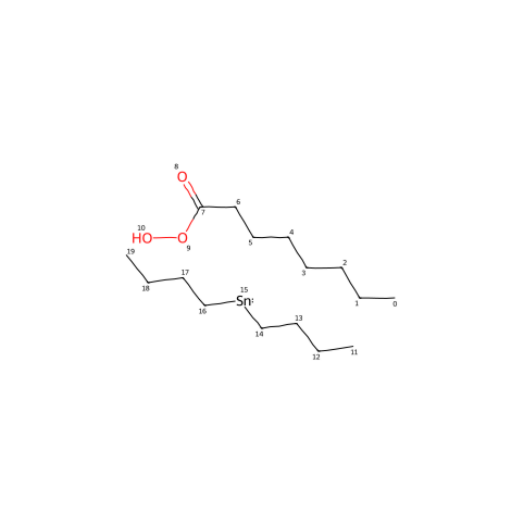 CCCCCCCC(=O)OO.CCC[CH2][Sn][CH2]CCC